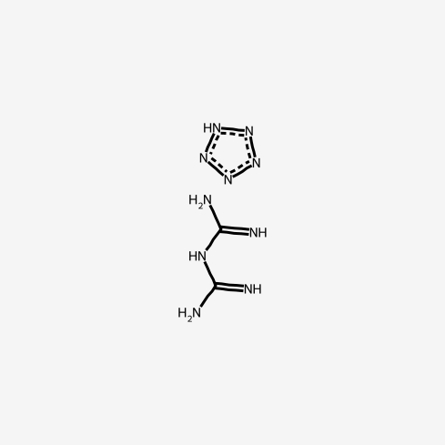 N=C(N)NC(=N)N.n1nn[nH]n1